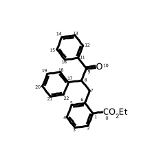 CCOC(=O)c1ccccc1CC(C(=O)c1ccccc1)c1ccccc1